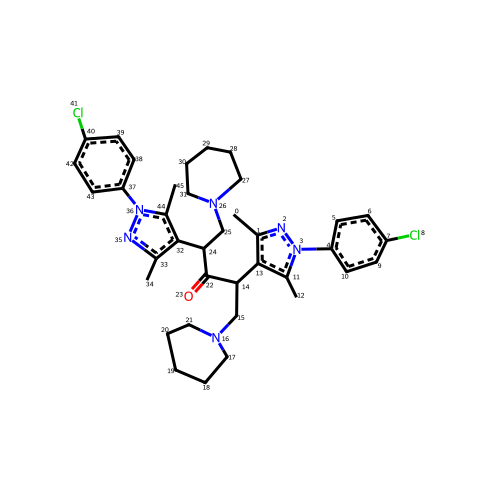 Cc1nn(-c2ccc(Cl)cc2)c(C)c1C(CN1CCCCC1)C(=O)C(CN1CCCCC1)c1c(C)nn(-c2ccc(Cl)cc2)c1C